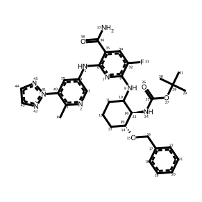 Cc1ncc(Nc2nc(NC3CCC[C@@H](OCc4ccccc4)[C@@H]3NC(=O)OC(C)(C)C)c(F)cc2C(N)=O)cc1-n1nccn1